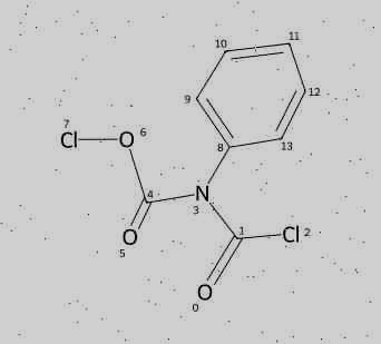 O=C(Cl)N(C(=O)OCl)c1ccccc1